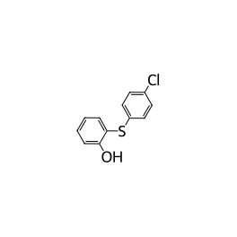 Oc1ccccc1Sc1ccc(Cl)cc1